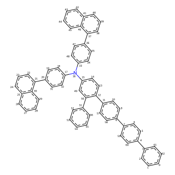 c1ccc(-c2ccc(-c3ccc(-c4ccc(N(c5ccc(-c6cccc7ccccc67)cc5)c5ccc(-c6cccc7ccccc67)cc5)cc4-c4ccccc4)cc3)cc2)cc1